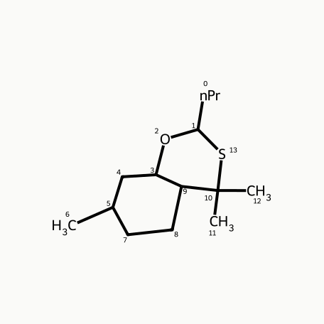 CCCC1OC2CC(C)CCC2C(C)(C)S1